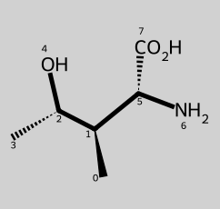 C[C@@H]([C@H](C)O)[C@@H](N)C(=O)O